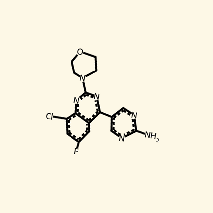 Nc1ncc(-c2nc(N3CCOCC3)nc3c(Cl)cc(F)cc23)cn1